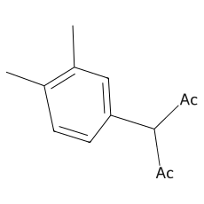 CC(=O)C(C(C)=O)c1ccc(C)c(C)c1